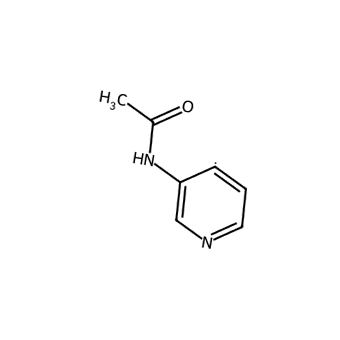 CC(=O)Nc1[c]ccnc1